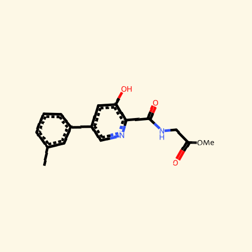 COC(=O)CNC(=O)c1ncc(-c2cccc(C)c2)cc1O